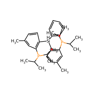 Cc1ccc([SiH](c2ccccc2)c2ccc(C)cc2P(C(C)C)C(C)C)c(P(C(C)C)C(C)C)c1